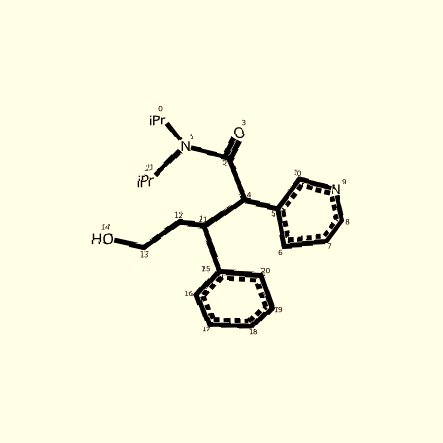 CC(C)N(C(=O)C(c1cccnc1)C(CCO)c1ccccc1)C(C)C